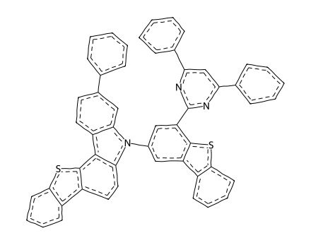 c1ccc(-c2ccc3c4c5sc6ccccc6c5ccc4n(-c4cc(-c5nc(-c6ccccc6)cc(-c6ccccc6)n5)c5sc6ccccc6c5c4)c3c2)cc1